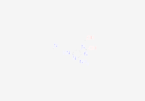 CN(CCCNc1cc2c(nc(O)n2CC(C)(C)O)c(N)n1)C(C)(C)C